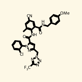 COc1ccc(CNC(=O)c2cc(C#N)cc(C)c2NC(=O)c2cc(Cn3nnc(C(F)(F)F)n3)nn2-c2ccccc2Cl)cc1